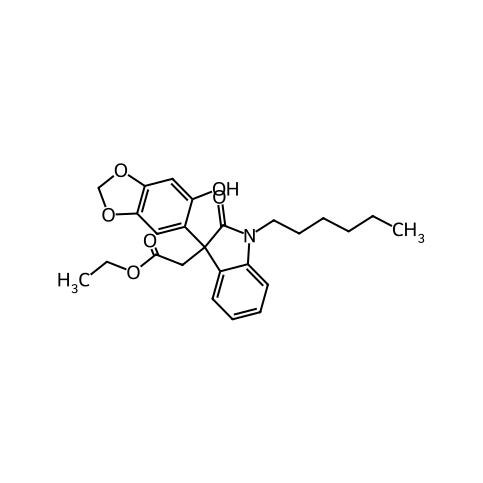 CCCCCCN1C(=O)C(CC(=O)OCC)(c2cc3c(cc2O)OCO3)c2ccccc21